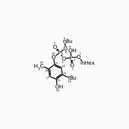 CCCCCCOP(=O)(O)OP(=O)(OCCCC)Oc1cc(C(C)(C)C)c(O)cc1C